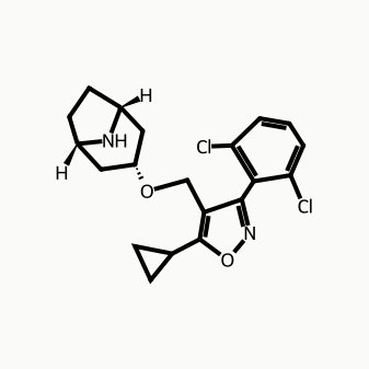 Clc1cccc(Cl)c1-c1noc(C2CC2)c1CO[C@H]1C[C@H]2CC[C@@H](C1)N2